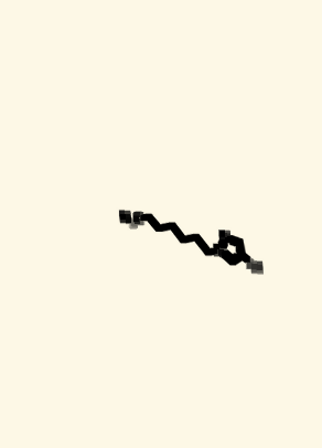 [2H]c1cnn(CCCCCCC)c1